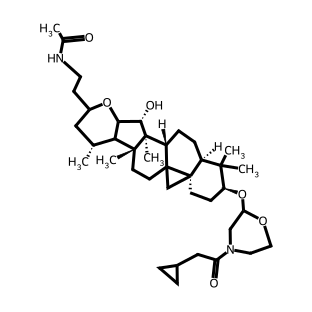 CC(=O)NCCC1C[C@@H](C)C2C(O1)[C@H](O)[C@@]1(C)[C@@H]3CC[C@H]4C(C)(C)[C@@H](OC5CN(C(=O)CC6CC6)CCO5)CC[C@@]45CC35CC[C@]21C